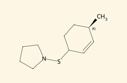 C[C@H]1C=CC(SN2CCCC2)CC1